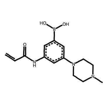 C=CC(=O)Nc1cc(B(O)O)cc(N2CCN(C)CC2)c1